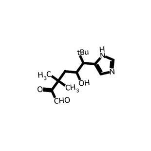 CC(C)(CC(O)C(c1cnc[nH]1)C(C)(C)C)C(=O)C=O